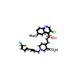 COc1ccc2ncc(Cl)c([C@H](O)CCC3CCN(CC#Cc4ccc(F)s4)CC3C(=O)O)c2c1